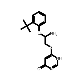 CC(C)(C)c1ccccc1OC(N)CSc1cc(=O)nc[nH]1